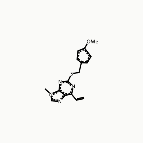 C=Cc1nc(SCc2ccc(OC)cc2)nc2c1ncn2C